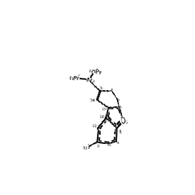 CCCN(CCC)C1CCc2oc3ccc(I)cc3c2C1